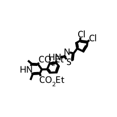 CCOC(=O)C1=C(C)NC(C)=C(C(=O)OCC)C1c1cccc(Nc2nc(-c3ccc(Cl)c(Cl)c3)cs2)c1